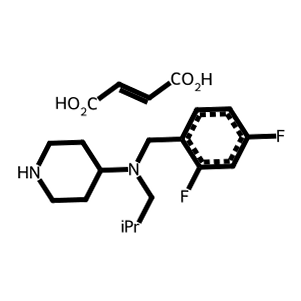 CC(C)CN(Cc1ccc(F)cc1F)C1CCNCC1.O=C(O)/C=C/C(=O)O